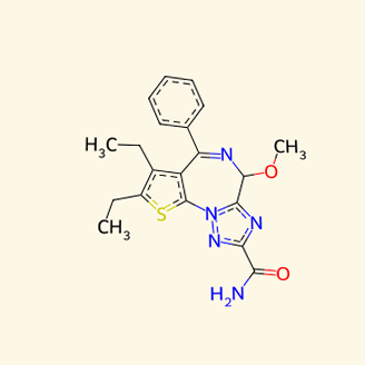 CCc1sc2c(c1CC)C(c1ccccc1)=NC(OC)c1nc(C(N)=O)nn1-2